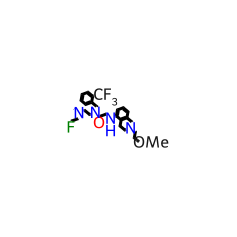 COCCN1CCc2c(cccc2NCC(=O)N(CCN(C)CCF)Cc2ccccc2C(F)(F)F)C1